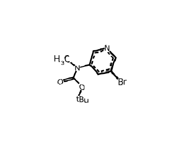 CN(C(=O)OC(C)(C)C)c1cncc(Br)c1